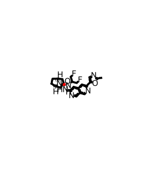 Cc1ncc(-c2cc3cc(NC(=O)N4[C@@H]5CC[C@H]4C[C@H](NC(CF)CF)C5)ncc3cn2)o1